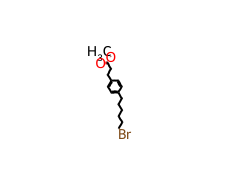 COC(=O)CCc1ccc(CCCCCCBr)cc1